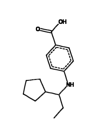 CCC(Nc1ccc(C(=O)O)cc1)C1CCCC1